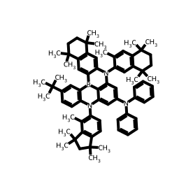 Cc1cc2c(cc1N1c3cc4c(cc3B3c5cc(C(C)(C)C)ccc5N(c5ccc6c(c5C)C(C)(C)CC6(C)C)c5cc(N(c6ccccc6)c6ccccc6)cc1c53)C(C)(C)CCC4(C)C)C(C)(C)CCC2(C)C